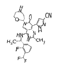 Cc1nc(NC(C)c2cccc(C(F)F)c2F)c2cn([C@H]3CNCCO3)c(=O)c(-c3cc(C#N)n[nH]3)c2n1